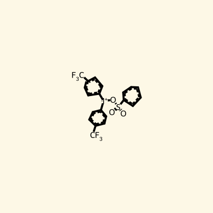 O=S(=O)(O[I+](c1ccc(C(F)(F)F)cc1)c1ccc(C(F)(F)F)cc1)c1ccccc1